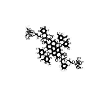 CO[Si](COCCOC(=O)C(Cc1ccccc1)N1C(=O)c2cc(Oc3cc(C)cc(C)c3)c3c4c(Oc5cc(C)cc(C)c5)cc5c6c(cc(Oc7cc(C)cc(C)c7)c(c7c(Oc8cc(C)cc(C)c8)cc(c2c37)C1=O)c64)C(=O)N(C(Cc1ccccc1)C(=O)OCCOC[Si](OC)(OC)OC)C5=O)(OC)OC